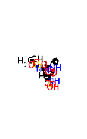 C=C(C)S(=O)(=O)Cc1nc([C@H](Cc2ccc(NS(=O)(=O)O)cc2)NC(=O)[C@H](Cc2ccccc2)NC(=O)OC)cs1